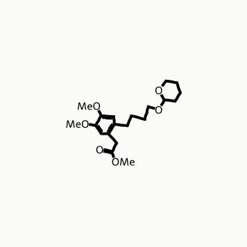 COC(=O)Cc1cc(OC)c(OC)cc1CCCCOC1CCCCO1